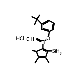 Cl.Cl.[CH2]=[Ti]([O]c1cccc(C(C)(C)C)c1)[C]1=C([SiH3])C(C)=C(C)C1C